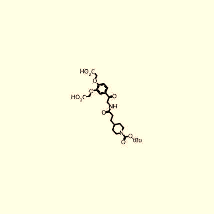 CC(C)(C)OC(=O)N1CCC(CCC(=O)NCC(=O)c2ccc(OCC(=O)O)c(OCC(=O)O)c2)CC1